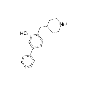 Cl.c1ccc(-c2ccc(CC3CCNCC3)cc2)cc1